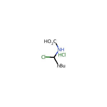 CCCCC(Cl)NC(=O)O.Cl